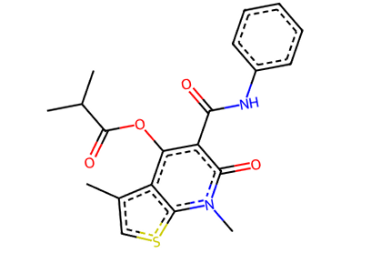 Cc1csc2c1c(OC(=O)C(C)C)c(C(=O)Nc1ccccc1)c(=O)n2C